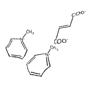 C[n+]1ccccc1.C[n+]1ccccc1.O=C([O-])C=CC(=O)[O-]